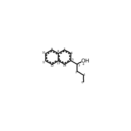 CCCC(O)c1ccc2ccccc2c1